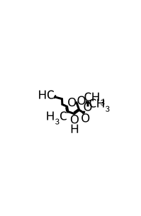 C#CCCC=C(C)C(O)=C1C(=O)OC(C)(C)OC1=O